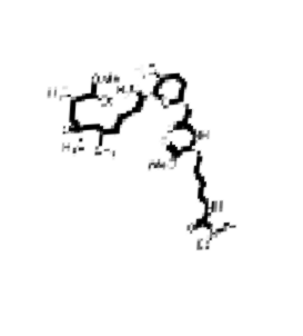 CC[C@H](OC)[C@@H](C)[C@H]1O[C@]1(C)C[C@H](C)/C=C/C=C(\C)[C@H]1O[C@@H](CC(=O)N[C@H](CCCCNC(=O)N(CC)CC)C(=O)OC)CC[C@@H]1C